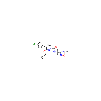 Cc1nc(C(C)(C)NC(=O)c2ccc(-c3ccc(Cl)cc3)c(OCC3CC3)n2)no1